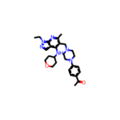 CCn1ncc2c(NC3CCOCC3)c(CN3CCN(c4ccc(C(C)=O)cc4)CC3)c(C)nc21